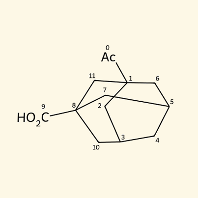 CC(=O)C12CC3CC(C1)CC(C(=O)O)(C3)C2